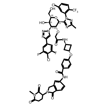 Cc1nc([C@@H]2O[C@H](CO)[C@H](O)[C@H](n3cc(-c4cc(F)c(Cl)c(F)c4)nn3)[C@H]2OCC(=O)N[C@H]2C[C@H](Oc3ccc(C(=O)Nc4ccc5c(c4)CN(C4CCC(=O)N(C)C4=O)C5=O)cc3)C2)n(-c2cc(Cl)ccc2C(F)(F)F)n1